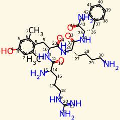 Cc1cc(O)cc(C)c1CC(NC(=O)[C@H](N)CCCNC(=N)N)C(=O)N[C@@H](CCCCN)C(=O)N[C@@H](Cc1ccccc1)C(N)=O